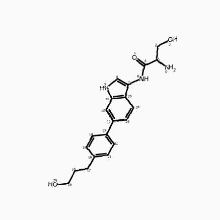 NC(CO)C(=O)Nc1c[nH]c2cc(-c3ccc(CCCO)cc3)ccc12